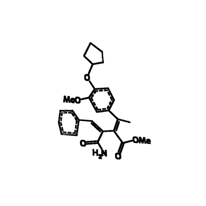 COC(=O)C(C(=Cc1ccccc1)C(N)=O)=C(C)c1ccc(OC2CCCC2)c(OC)c1